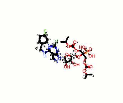 CC(C)OC(=O)OCC(COC(=O)OC(C)C)(OC[C@H]1O[C@@H](n2ncc3c(N[C@H](C)c4ccc(F)cc4)nc(Cl)nc32)[C@H](O)[C@@H]1O)P(=O)(O)O